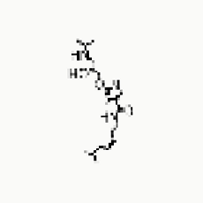 CC(C)C/C=C\CCNC(=O)c1cnc(OCC(O)CNC(C)C)s1